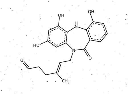 C/C(=C\CN1C(=O)c2cccc(O)c2Nc2c(O)cc(O)cc21)CCC=O